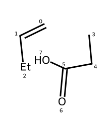 C=CCC.CCC(=O)O